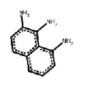 Nc1c[c]c2cccc(N)c2c1N